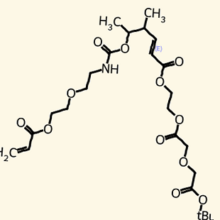 C=CC(=O)OCCOCCNC(=O)OC(C)C(C)/C=C/C(=O)OCCOC(=O)COCC(=O)OC(C)(C)C